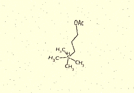 CC(=O)OCCC[SH](C)(C)(C)C